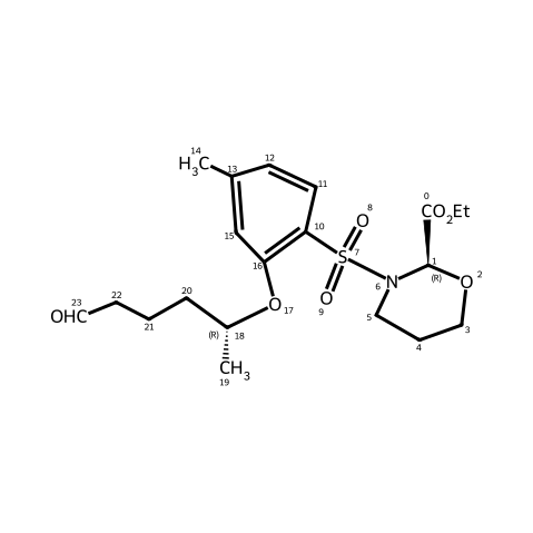 CCOC(=O)[C@H]1OCCCN1S(=O)(=O)c1ccc(C)cc1O[C@H](C)CCCC=O